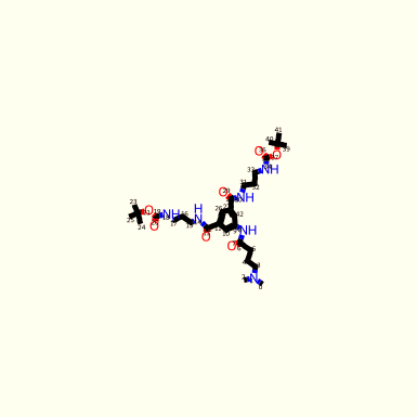 CN(C)CCCC(=O)Nc1cc(C(=O)NCCCNC(=O)OC(C)(C)C)cc(C(=O)NCCCNC(=O)OC(C)(C)C)c1